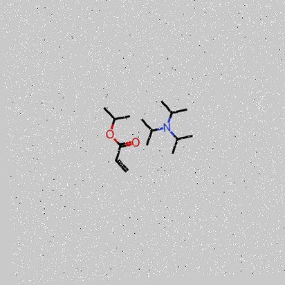 C=CC(=O)OC(C)C.CC(C)N(C(C)C)C(C)C